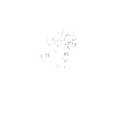 NC1CCC(Nc2cc(-c3nc(NCC4CCOCC4)cnc3Cl)c(Cl)cn2)CC1